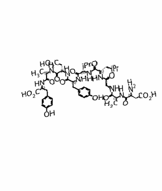 CC(C)C[C@H](NC(=O)CNC(=O)[C@H](C)NC(=O)[C@@H](N)CC(=O)O)C(=O)N[C@H](C(=O)N[C@@H](Cc1ccc(O)cc1)C(=O)N[C@@H](CC(=O)O)C(=O)N[C@@H](C)C(=O)N[C@@H](Cc1ccc(O)cc1)C(=O)O)C(C)C